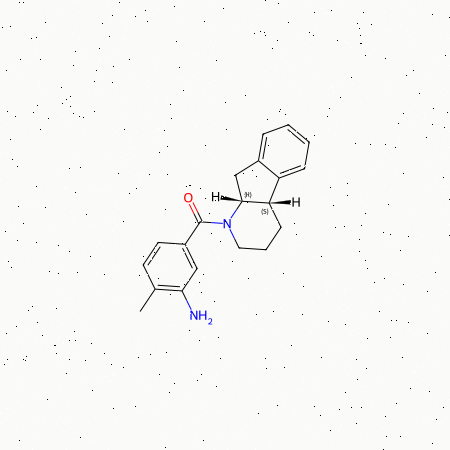 Cc1ccc(C(=O)N2CCC[C@H]3c4ccccc4C[C@H]32)cc1N